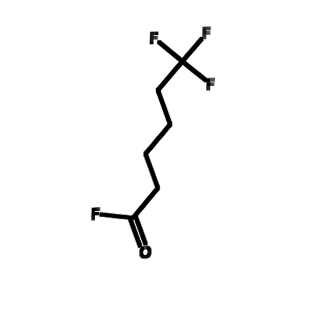 O=C(F)CCCCC(F)(F)F